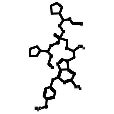 COc1ccc(Sc2nc(N)nc3c2ncn3CC(C)OCP(=O)(OOC(OC=O)C2CCCC2)OOC(OC=O)C2CCCC2)cc1